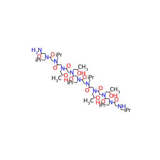 CC(C)CNCC(=O)N(CC(=O)N(CC(=O)N(CC(=O)N(CC(=O)N(CC(=O)N(CC(=O)N(CC(=O)N(CC(=O)N(CC(N)=O)CC(C)C)CC(C)C)CC(C)O)CC(C)O)CC(C)C)CC(C)C)CC(C)O)CC(C)O)CC(C)C